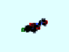 O=C(NCCN1CCOCC1)C(O)C1CCCN1C(=O)c1ccc(Cl)cc1